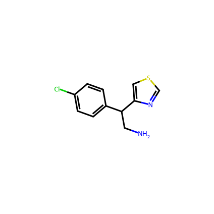 NCC(c1ccc(Cl)cc1)c1cscn1